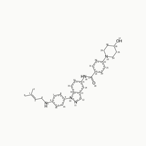 CC(C)=CCNc1ccc(-n2ncc3cc(NC(=O)c4ccc(N5CCC(O)CC5)cc4)ccc32)cc1